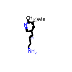 COc1cc(/C=C/CCN)cnc1C